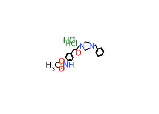 CS(=O)(=O)Nc1ccc(CC(=O)CN2CCN(Cc3ccccc3)CC2)cc1.Cl.Cl